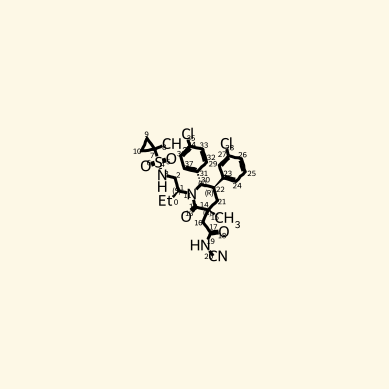 CC[C@@H](CNS(=O)(=O)C1(C)CC1)N1C(=O)[C@@](C)(CC(=O)NC#N)C[C@H](c2cccc(Cl)c2)[C@H]1c1ccc(Cl)cc1